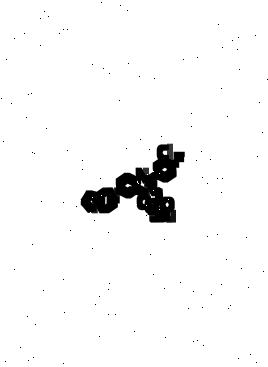 CC(C)(C)OC(=O)Cn1c(-c2ccc(F)c(Cl)c2)nc2ccc(N3CCN4CCC=C4C3)cc2c1=O